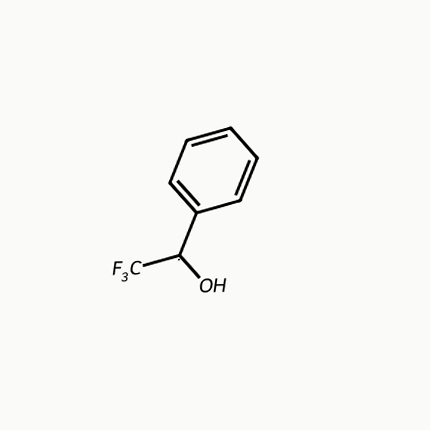 O[C](c1ccccc1)C(F)(F)F